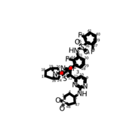 O=S1(=O)CCC(Nc2nccc(-c3sc(N4C5CCC4CN(CC(F)(F)F)C5)nc3-c3cccc(NS(=O)(=O)c4c(F)cccc4F)c3F)n2)CC1